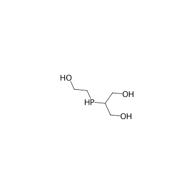 OCCPC(CO)CO